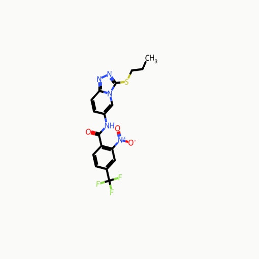 CCCSc1nnc2ccc(NC(=O)c3ccc(C(F)(F)F)cc3[N+](=O)[O-])cn12